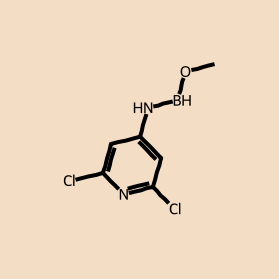 COBNc1cc(Cl)nc(Cl)c1